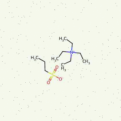 CCCS(=O)(=O)[O-].CC[N+](CC)(CC)CC